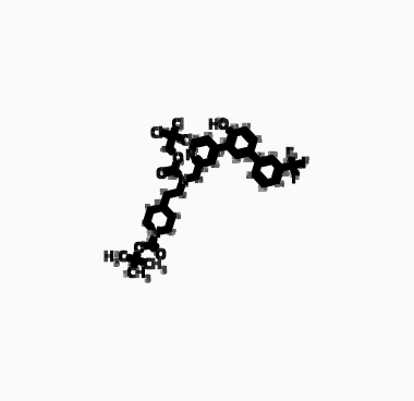 CC(C)(C)OC(=O)N1CCC(CCN(Cc2cc(-c3cc(-c4cccc(C(F)(F)F)c4)ccc3O)ccn2)C(=O)OCC(Cl)(Cl)Cl)CC1